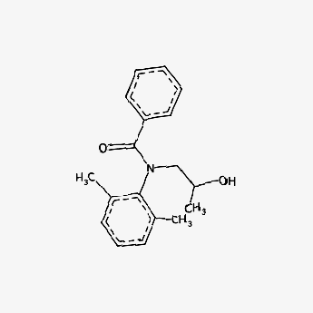 Cc1cccc(C)c1N(CC(C)O)C(=O)c1ccccc1